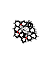 c1ccc2c([Si]([Cr][Si](c3cccc4ccccc34)(c3cccc4ccccc34)c3cccc4ccccc34)(c3cccc4ccccc34)c3cccc4ccccc34)cccc2c1